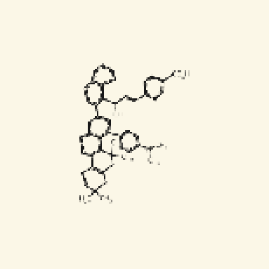 CN(C)c1ccc(-c2cc(-c3ccc4ccccc4c3C(O)/C=C/c3ccc(C(=O)O)cc3)cc3ccc4c(c23)C(C)(C)CC2=C4C=CC(C)(C)C2)cc1